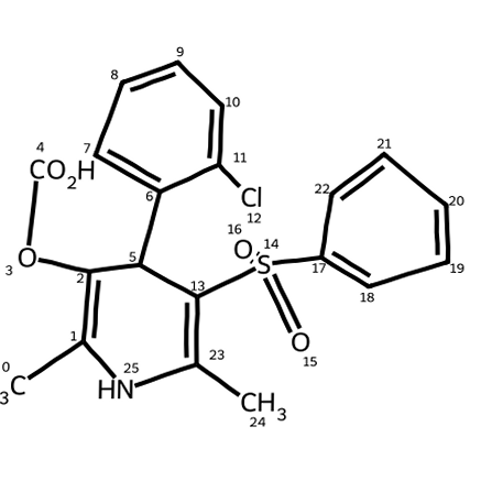 CC1=C(OC(=O)O)C(c2ccccc2Cl)C(S(=O)(=O)c2ccccc2)=C(C)N1